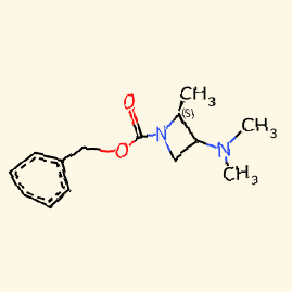 C[C@H]1C(N(C)C)CN1C(=O)OCc1ccccc1